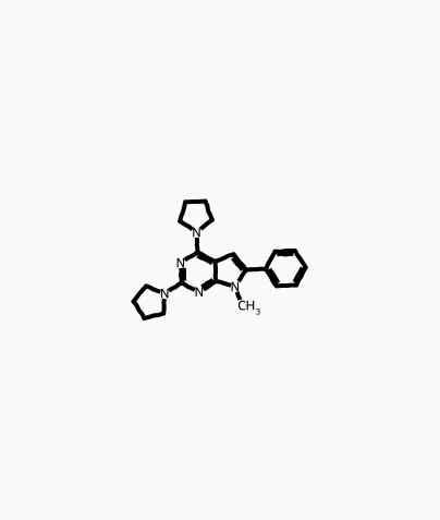 Cn1c(-c2ccccc2)cc2c(N3CCCC3)nc(N3CCCC3)nc21